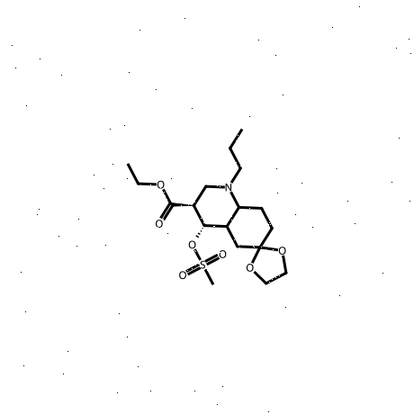 CCCN1C[C@H](C(=O)OCC)[C@@H](OS(C)(=O)=O)C2CC3(CCC21)OCCO3